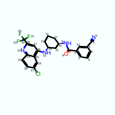 N#Cc1cccc(C(=O)N[C@@H]2CCC[C@H](Nc3cc(C(F)(F)F)nc4ccc(Cl)cc34)C2)c1